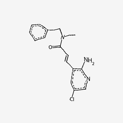 CN(Cc1ccccc1)C(=O)C=Cc1cc(Cl)cnc1N